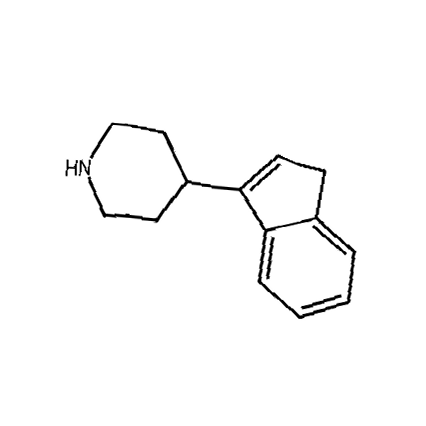 C1=C(C2CCNCC2)c2ccccc2C1